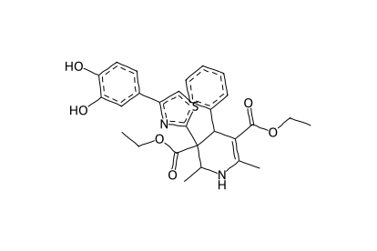 CCOC(=O)C1=C(C)NC(C)C(C(=O)OCC)(c2nc(-c3ccc(O)c(O)c3)cs2)C1c1ccccc1